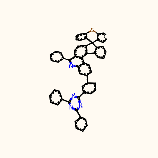 c1ccc(-c2nc(-c3ccccc3)nc(-c3cccc(-c4ccc5c(c4)nc(-c4ccccc4)c4ccc6c(c45)-c4ccccc4C64c5ccccc5Sc5ccccc54)c3)n2)cc1